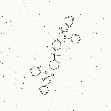 CC(C)(c1ccc(OP(=O)(Oc2ccccc2)Oc2ccccc2)cc1)C1CCC(OP(=O)(Oc2ccccc2)Oc2ccccc2)CC1